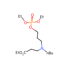 CCCCN(CCCOP(=O)(OCC)OCC)CCC(=O)OCC